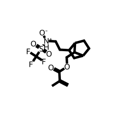 C=C(C)C(=O)OCC1C2CCC1C(CC[NH+]([O-])S(=O)(=O)C(F)(F)F)C2